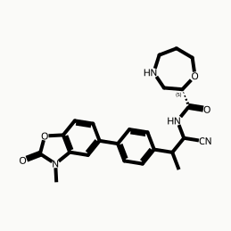 CC(c1ccc(-c2ccc3oc(=O)n(C)c3c2)cc1)C(C#N)NC(=O)[C@@H]1CNCCCO1